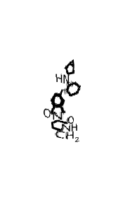 C=C1CCC(N2Cc3cc(C[C@H]4CCCC[C@@H]4NC4CC5CC5C4)ccc3C2=O)C(=O)N1